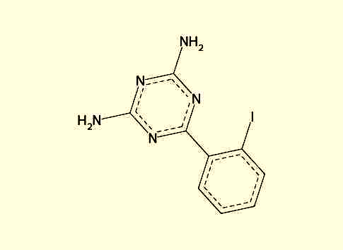 Nc1nc(N)nc(-c2ccccc2I)n1